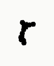 c1ccc(-c2ccc(-c3nc(-c4ccccc4)nc(-c4ccc(-c5ccc(-c6ccc7ccc8c9ccccc9ccc8c7n6)cc5)cc4)n3)cc2)cc1